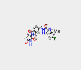 CO/N=C(\Cc1ccc(F)cc1)C(=O)NCc1ccc2c(c1)CN(C1CCC(=O)NC1=O)C2=O